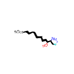 CCCCCCCCCCCCCC=C[C@@H](O)[C@H](N)CF